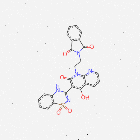 O=C1c2ccccc2C(=O)N1CCn1c(=O)c(C2=NS(=O)(=O)c3ccccc3N2)c(O)c2cccnc21